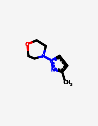 Cc1ccn(N2CCOCC2)n1